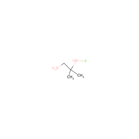 BCC(C)(C)BF